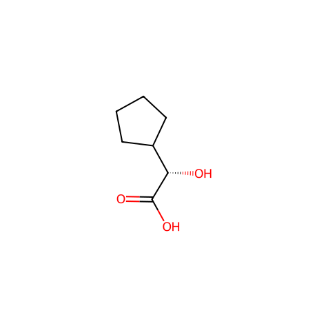 O=C(O)[C@@H](O)C1CCCC1